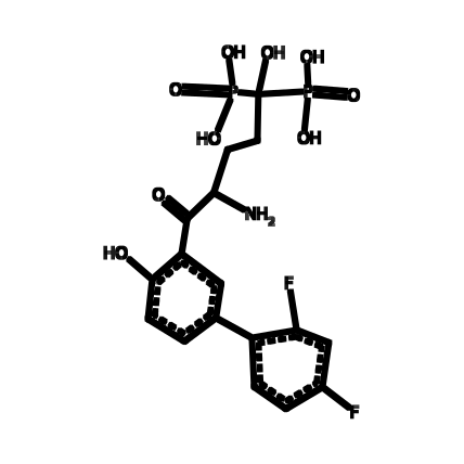 NC(CCC(O)(P(=O)(O)O)P(=O)(O)O)C(=O)c1cc(-c2ccc(F)cc2F)ccc1O